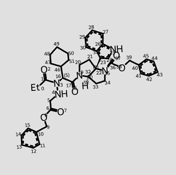 CCC(=O)N(NCC(=O)OCc1ccccc1)[C@H](C(=O)N1CC[C@@]2(c3c[nH]c4ccccc34)[C@H]1CCN2C(=O)OCc1ccccc1)C1CCCCC1